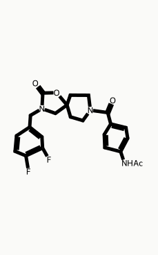 CC(=O)Nc1ccc(C(=O)N2CCC3(CC2)CN(Cc2ccc(F)c(F)c2)C(=O)O3)cc1